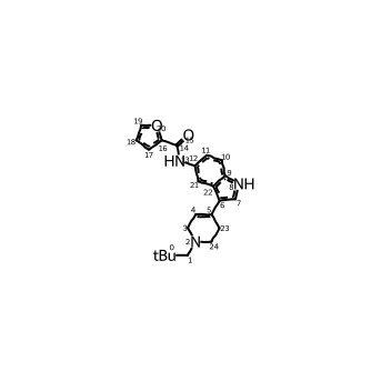 CC(C)(C)CN1CC=C(c2c[nH]c3ccc(NC(=O)c4ccco4)cc23)CC1